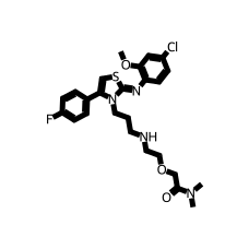 COc1cc(Cl)ccc1/N=c1\scc(-c2ccc(F)cc2)n1CCCNCCOCC(=O)N(C)C